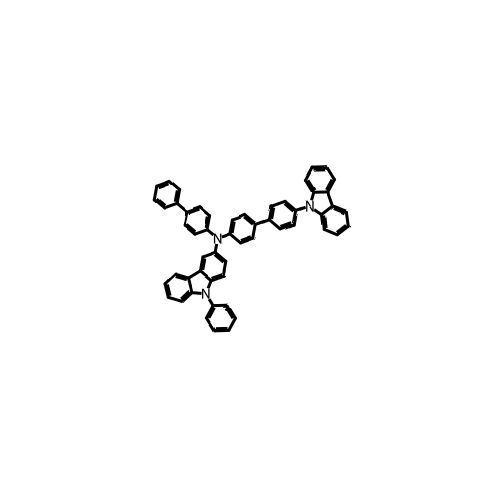 c1ccc(-c2ccc(N(c3ccc(-c4ccc(-n5c6ccccc6c6ccccc65)cc4)cc3)c3ccc4c(c3)c3ccccc3n4-c3ccccc3)cc2)cc1